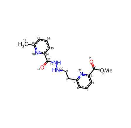 COC(=O)c1cccc(CCNNC(=O)c2cccc(C)n2)n1